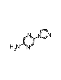 Nc1cnc(-n2ccnc2)cn1